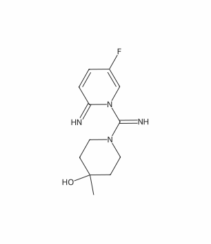 CC1(O)CCN(C(=N)n2cc(F)ccc2=N)CC1